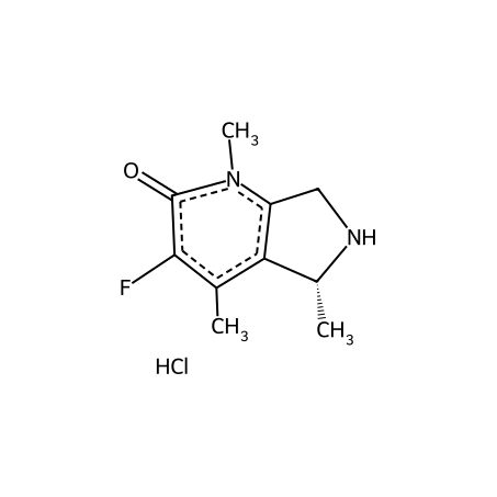 Cc1c2c(n(C)c(=O)c1F)CN[C@@H]2C.Cl